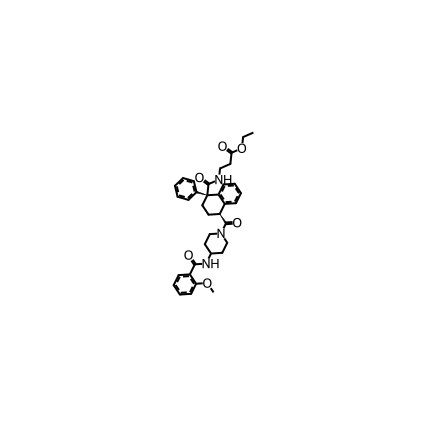 CCOC(=O)CCNC(=O)[C@@]1(c2ccccc2)CC[C@H](C(=O)N2CCC(NC(=O)c3ccccc3OC)CC2)c2ccccc21